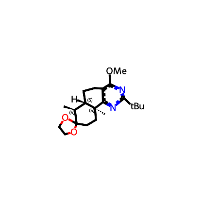 COc1nc(C(C)(C)C)nc2c1CC[C@H]1[C@H](C)C3(CC[C@]21C)OCCO3